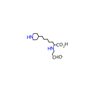 O=[C]CCNC(CCCCCC1CCNCC1)C(=O)O